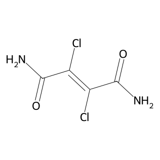 NC(=O)C(Cl)=C(Cl)C(N)=O